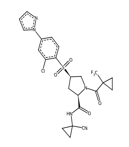 N#CC1(NC(=O)[C@H]2C[C@@H](S(=O)(=O)c3ccc(-n4cccn4)cc3Cl)CN2C(=O)C2(C(F)(F)F)CC2)CC1